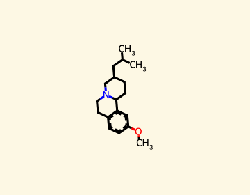 COc1ccc2c(c1)C1CCC(CC(C)C)CN1CC2